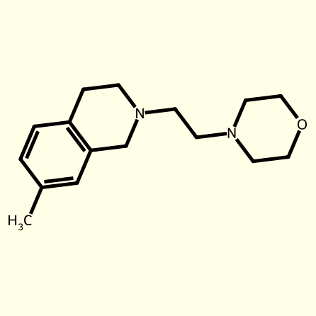 Cc1ccc2c(c1)CN(CCN1CCOCC1)CC2